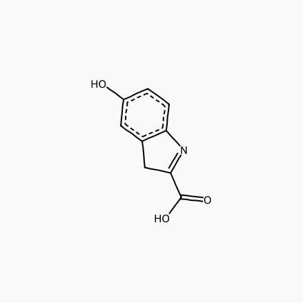 O=C(O)C1=Nc2ccc(O)cc2C1